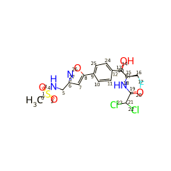 CS(=O)(=O)NCc1cc(-c2ccc([C@@H](O)[C@@H](CF)NC(=O)C(Cl)Cl)cc2)on1